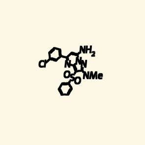 CNc1nn2c(N)cc(-c3cccc(Cl)c3)nc2c1S(=O)(=O)c1ccccc1